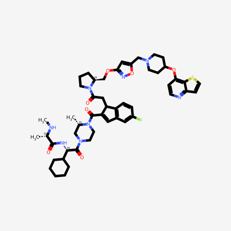 CN[C@@H](C)C(=O)N[C@H](C(=O)N1CCN(C(=O)C2=Cc3cc(F)ccc3C2CC(=O)N2CCC[C@H]2COc2cc(CN3CCC(Oc4ccnc5ccsc45)CC3)on2)[C@@H](C)C1)C1CCCCC1